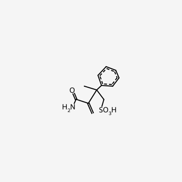 C=C(C(N)=O)C(C)(CS(=O)(=O)O)c1ccccc1